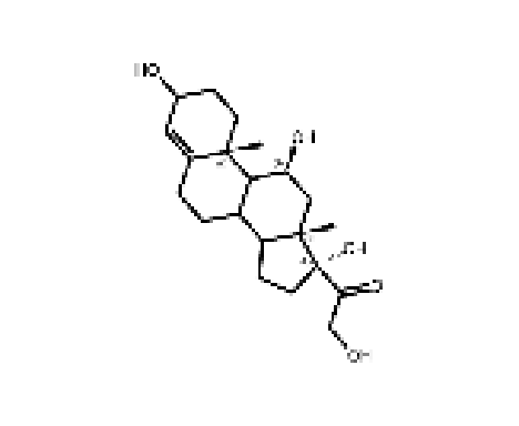 C[C@]12CCC(O)C=C1CCC1C2[C@@H](O)C[C@@]2(C)C1CC[C@]2(O)C(=O)CO